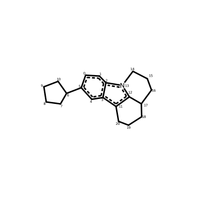 c1cc2c(cc1C1CCCC1)c1c3n2CCCC3CCC1